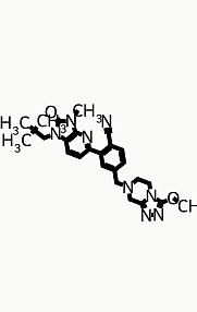 COc1nnc2n1CCN(Cc1ccc(C#N)c(-c3ccc4c(n3)n(C)c(=O)n4CC(C)(C)C)c1)C2